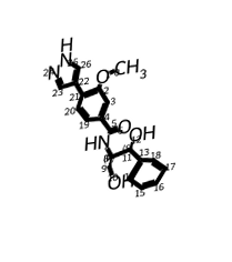 COc1cc(C(=O)N[C@H](CO)[C@@H](O)c2ccccc2)ccc1-c1cn[nH]c1